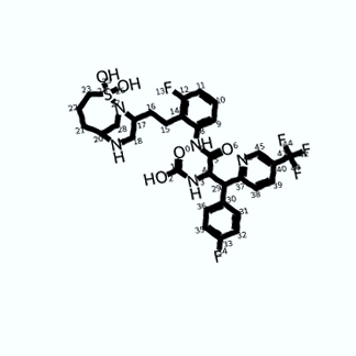 O=C(O)NC(C(=O)Nc1cccc(F)c1CCC1CNC2CCCS(O)(O)N1C2)C(c1ccc(F)cc1)c1ccc(C(F)(F)F)cn1